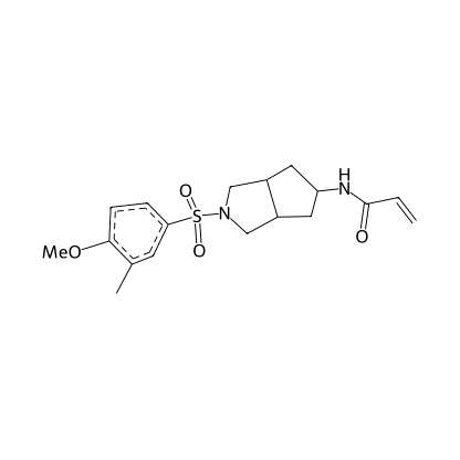 C=CC(=O)NC1CC2CN(S(=O)(=O)c3ccc(OC)c(C)c3)CC2C1